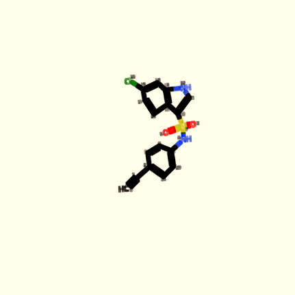 C#Cc1ccc(NS(=O)(=O)c2c[nH]c3cc(Cl)ccc23)cc1